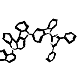 c1ccc(-c2cc(-c3ccccc3)nc(-n3c4ccccc4c4cc(-n5c6ccccc6c6c7c8ccccc8n(-c8cccc9ccccc89)c7ccc65)ccc43)n2)cc1